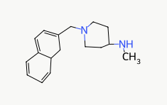 CNC1CCN(CC2=CC=C3C=CC=CC3C2)CC1